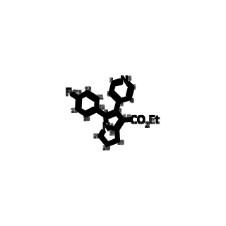 CCOC(=O)c1c(-c2ccncc2)c(-c2ccc(F)cc2)n2c1CCC2